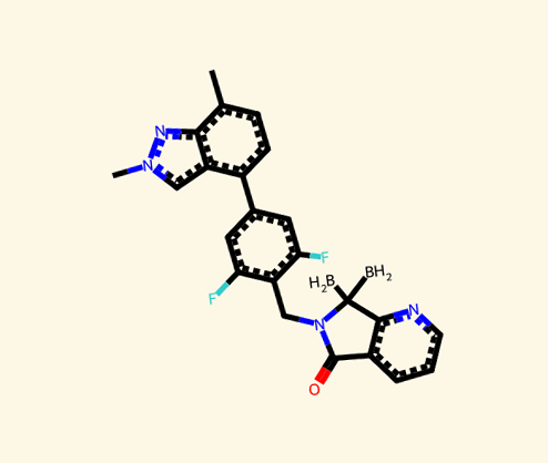 BC1(B)c2ncccc2C(=O)N1Cc1c(F)cc(-c2ccc(C)c3nn(C)cc23)cc1F